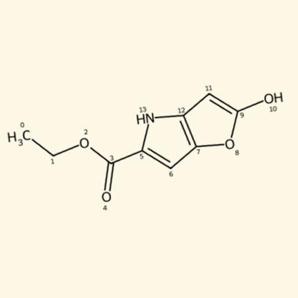 CCOC(=O)c1cc2oc(O)cc2[nH]1